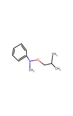 CC(C)CON(C)c1ccccc1